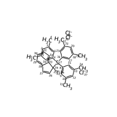 Cc1cc(C)cc([Si](c2cc(C)cc(C)c2)(c2cc(C)cc(C)c2)[C]2([Ti+3])C=Cc3ccccc32)c1.[Cl-].[Cl-].[Cl-]